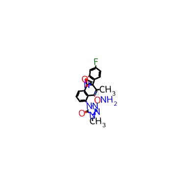 C/C(=C(\ON)c1c(C2CC2)cccc1-n1nnn(C)c1=O)c1noc2cc(F)ccc12